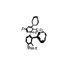 CCCCCc1ccc([C@]2(N=C=S)C=C(F)C=C(C3CCCCC3)[C@H]2F)c(-c2ccccc2)c1C